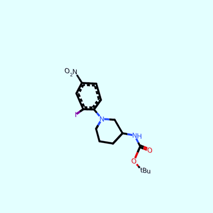 CC(C)(C)OC(=O)NC1CCCN(c2ccc([N+](=O)[O-])cc2I)C1